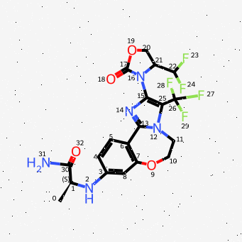 C[C@H](Nc1ccc2c(c1)OCCn1c-2nc(N2C(=O)OCC2C(F)F)c1C(F)(F)F)C(N)=O